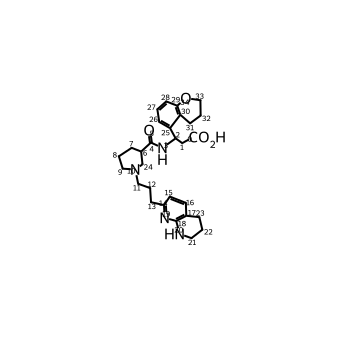 O=C(O)CC(NC(=O)C1CCCN(CCCc2ccc3c(n2)NCCC3)C1)c1cccc2c1CCCO2